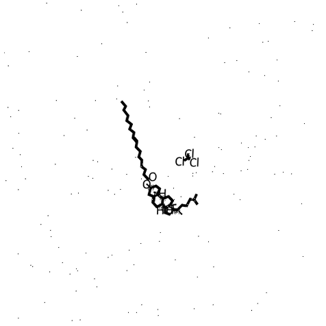 CCCCCCCCC=CCCCCCCCC(=O)O[C@H]1CC[C@@]2(C)C(=CC[C@H]3[C@@H]4CC[C@H]([C@H](C)CCCC(C)C)[C@@]4(C)CC[C@@H]32)C1.ClC(Cl)Cl